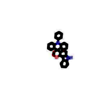 c1ccc(N2c3ccccc3C3(c4ccccc4Oc4c3ccc3[nH]c5ccccc5c43)c3ccccc32)cc1